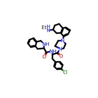 CCNC1CCc2cccc(N3CCN(C(=O)C(Cc4ccc(Cl)cc4)NC(=O)C4Cc5ccccc5CN4)CC3)c2C1